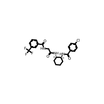 O=C(CNC(=O)c1cccc(C(F)(F)F)c1)N[C@H]1CCCC[C@@H]1NC(=O)c1ccc(Cl)cc1